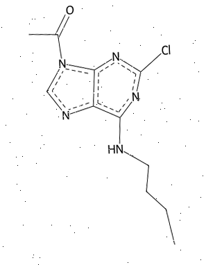 CCCCNc1nc(Cl)nc2c1ncn2C(C)=O